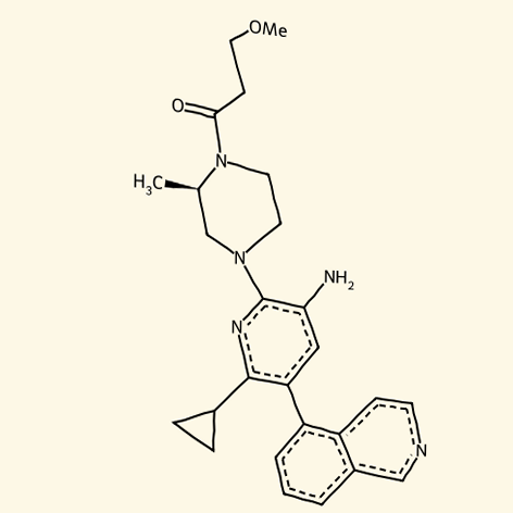 COCCC(=O)N1CCN(c2nc(C3CC3)c(-c3cccc4cnccc34)cc2N)C[C@H]1C